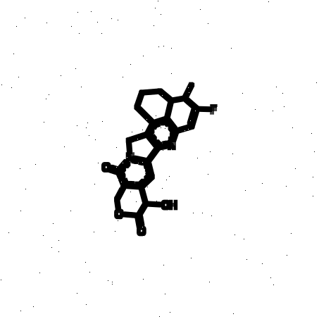 CC1C(F)=Cc2nc3c(c4c2C1CCC4)Cn1c-3cc2c(c1=O)COC(=O)C2O